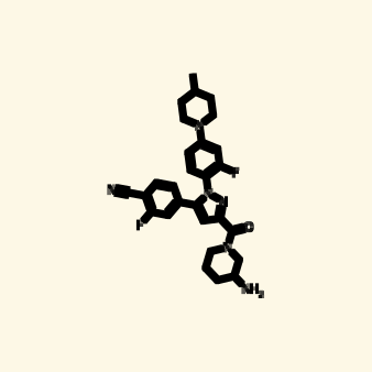 CC1CCN(c2ccc(-n3nc(C(=O)N4CCCC(N)C4)cc3-c3ccc(C#N)c(F)c3)c(F)c2)CC1